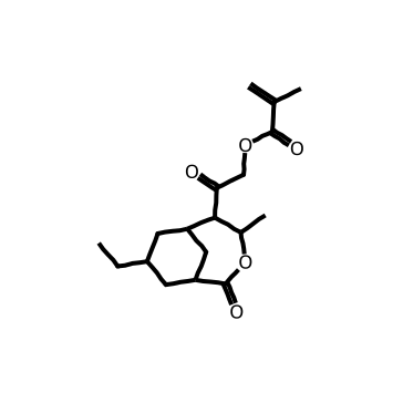 C=C(C)C(=O)OCC(=O)C1C2CC(CC)CC(C2)C(=O)OC1C